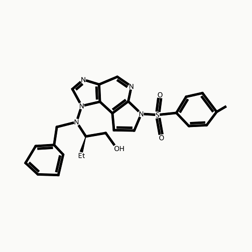 CC[C@H](CO)N(Cc1ccccc1)n1cnc2cnc3c(ccn3S(=O)(=O)c3ccc(C)cc3)c21